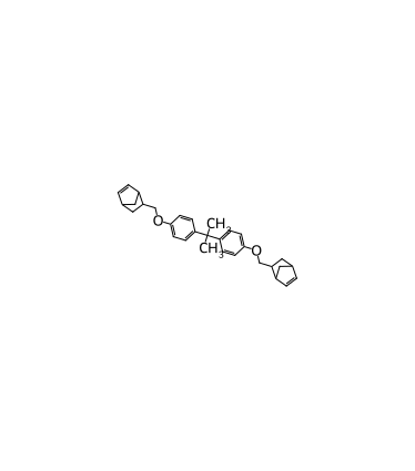 CC(C)(c1ccc(OCC2CC3C=CC2C3)cc1)c1ccc(OCC2CC3C=CC2C3)cc1